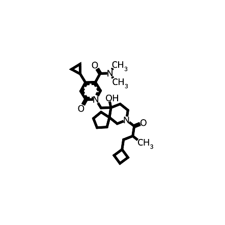 CC(CC1CCC1)C(=O)N1CCC(O)(Cn2cc(C(=O)N(C)C)c(C3CC3)cc2=O)C2(CCCC2)C1